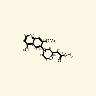 COc1cc2nccc(Cl)c2cc1N1CCOC(CC(N)=O)C1